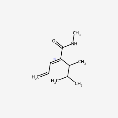 C=C/C=C(/C(=O)NC)C(C)C(C)C